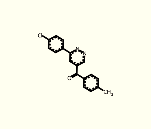 Cc1ccc(C(=O)c2cnnc(-c3ccc(Cl)cc3)c2)cc1